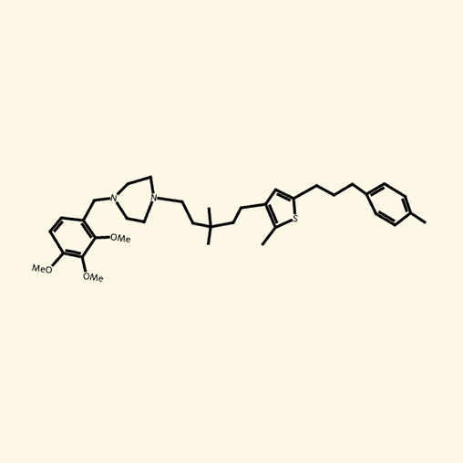 COc1ccc(CN2CCN(CCC(C)(C)CCc3cc(CCCc4ccc(C)cc4)sc3C)CC2)c(OC)c1OC